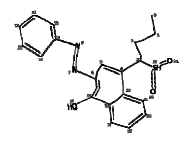 CCCC(c1cc(N=Nc2ccccc2)c(O)c2ccccc12)[SH](=O)=O